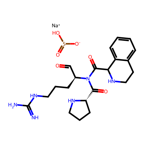 N=C(N)NCCC[C@@H](C=O)N(C(=O)C1NCCc2ccccc21)C(=O)[C@@H]1CCCN1.O=S([O-])O.[Na+]